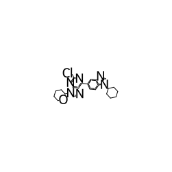 Clc1nc(-c2ccc3c(c2)ncn3C2CCCCC2)c2ncn(C3CCCCO3)c2n1